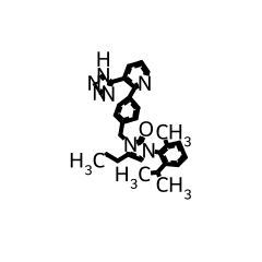 CCCc1cn(-c2c(C)cccc2C(C)C)c(=O)n1Cc1ccc(-c2ncccc2-c2nnn[nH]2)cc1